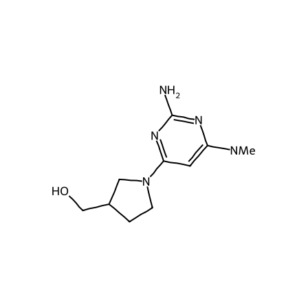 CNc1cc(N2CCC(CO)C2)nc(N)n1